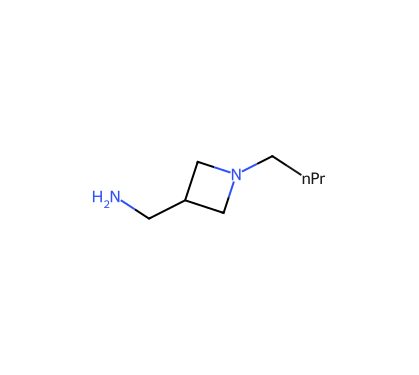 CCCCN1CC(CN)C1